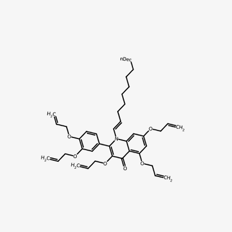 C=CCOc1cc(OCC=C)c2c(=O)c(OCC=C)c(-c3ccc(OCC=C)c(OCC=C)c3)n(C=CCCCCCCCCCCCCCCCC)c2c1